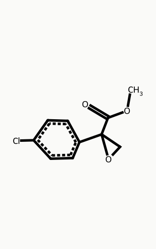 COC(=O)C1(c2ccc(Cl)cc2)CO1